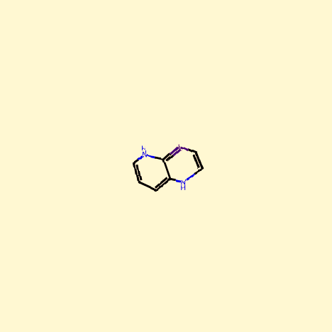 C1=CNC2=IC=CNC2=C1